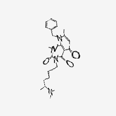 Cc1cc(=O)c2c(=O)n(CCCCC(C)N(C)C)c(=O)n(C)c2n1Cc1ccccc1